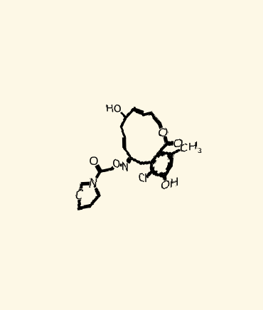 Cc1cc(O)c(Cl)c2c1C(=O)OCC/C=C/C(O)C/C=C/C(=N\OCC(=O)N1CCCCC1)C2